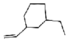 C=CC1CCCC(CC)C1